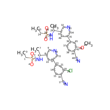 CCS(=O)(=O)NC(C)c1cncc(-c2ccc(C#N)c(Cl)c2)c1.CCS(=O)(=O)NC(C)c1cncc(-c2ccc(C#N)c(OC)c2)c1